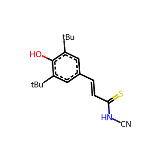 CC(C)(C)c1cc(C=CC(=S)NC#N)cc(C(C)(C)C)c1O